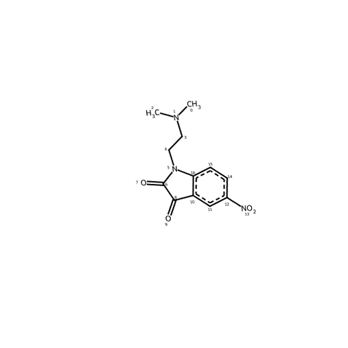 CN(C)CCN1C(=O)C(=O)c2cc([N+](=O)[O-])ccc21